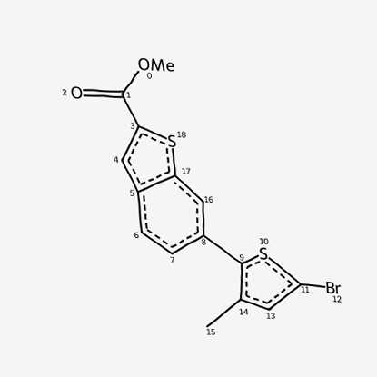 COC(=O)c1cc2ccc(-c3sc(Br)cc3C)cc2s1